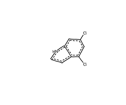 Clc1cc(Cl)c2[c]c[nH]c2c1